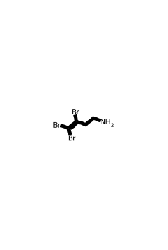 NCCC(Br)=C(Br)Br